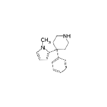 Cn1cccc1C1(c2ccccc2)CCNCC1